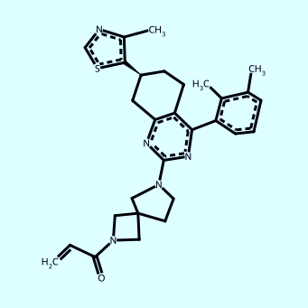 C=CC(=O)N1CC2(CCN(c3nc4c(c(-c5cccc(C)c5C)n3)CC[C@H](c3scnc3C)C4)C2)C1